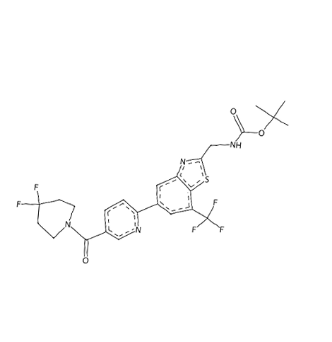 CC(C)(C)OC(=O)NCc1nc2cc(-c3ccc(C(=O)N4CCC(F)(F)CC4)cn3)cc(C(F)(F)F)c2s1